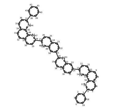 c1ccc(-c2ccc3ccc4ccc(-c5ccc6ccc(-c7ccc8ccc(-c9ccc%10ccc%11ccc(-c%12ccccc%12)nc%11c%10n9)nc8c7)nc6c5)nc4c3n2)cc1